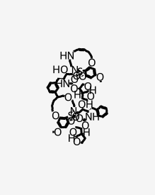 COc1ccc2c(c1)OCC/C=C\CNCCN(C[C@@H](O)[C@H](Cc1cccc(C3CCCOc4cc(OC)ccc4S(=O)(=O)N(C[C@@H](O)[C@H](Cc4ccccc4)NC(=O)O[C@H]4CO[C@H]5OCC[C@H]54)CCOC3)c1)NC(=O)O[C@H]1CO[C@H]3OCC[C@H]31)S2(=O)=O